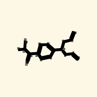 C=CCN(CC=C)c1ccc(C(=O)C(C)Br)cc1